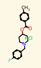 Cc1ccc(C(=O)OC2CCN(Cc3ccc(F)cc3)CC2)cc1.Cl